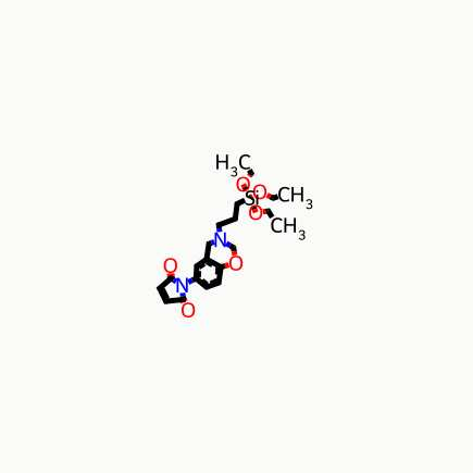 CCO[Si](CCCN1COc2ccc(N3C(=O)C=CC3=O)cc2C1)(OCC)OCC